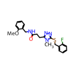 COc1ccccc1CNC(=O)CCc1nnc(SCc2ccccc2F)n1C